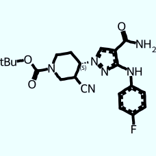 CC(C)(C)OC(=O)N1CC[C@H](n2cc(C(N)=O)c(Nc3ccc(F)cc3)n2)C(C#N)C1